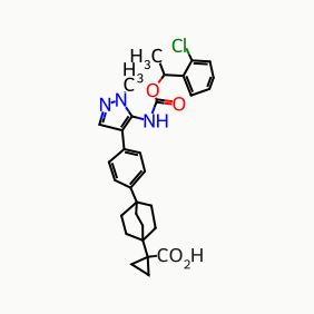 CC(OC(=O)Nc1c(-c2ccc(C34CCC(C5(C(=O)O)CC5)(CC3)CC4)cc2)cnn1C)c1ccccc1Cl